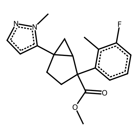 COC(=O)C1(c2cccc(F)c2C)CCC2(c3ccnn3C)CC21